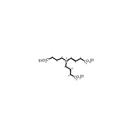 CCOC(=O)CCCN(CCCC(=O)OCC)CCCC(=O)OCC